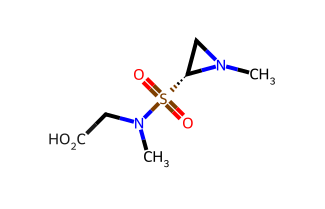 CN1C[C@H]1S(=O)(=O)N(C)CC(=O)O